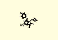 Cc1c(C)n(CC2CCC2)c2c(Oc3ccc(F)cc3)nccc12.Cl